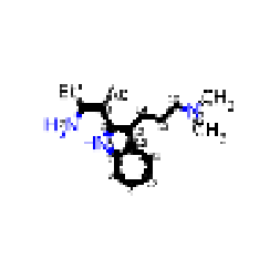 CCC(N)=C(C(C)=O)c1[nH]c2ccccc2c1CCCN(C)C